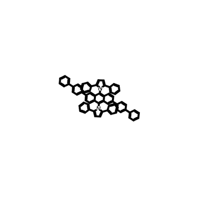 c1ccc(-c2ccc(-c3ccc4c(-n5c(-c6ccccc6)ccc5-c5ccccc5)c5cc(-c6ccc(-c7ccccc7)cc6)ccc5c(-n5c(-c6ccccc6)ccc5-c5ccccc5)c4c3)cc2)cc1